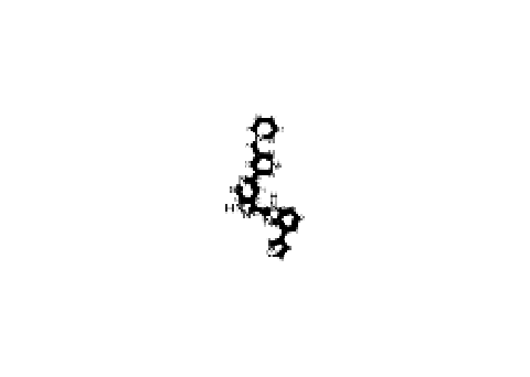 c1cc(-c2ccoc2)c2nc(-c3n[nH]c4cnc(-c5cncc(CN6CCCCC6)c5)cc34)[nH]c2c1